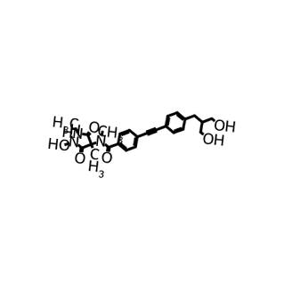 CNC(=O)C(C)(C(=O)NO)N(C)C(=O)c1ccc(C#Cc2ccc(CC(CO)CO)cc2)cc1